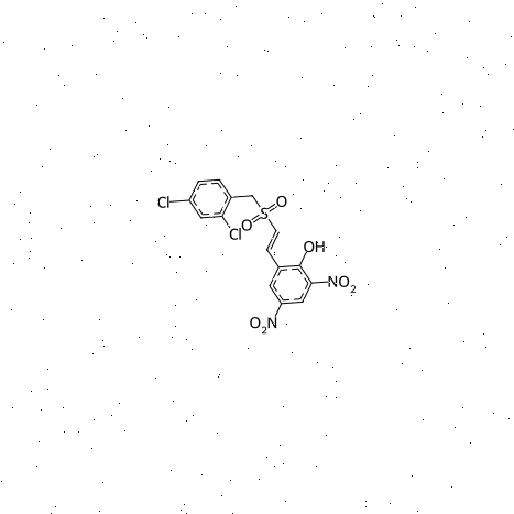 O=[N+]([O-])c1cc(C=CS(=O)(=O)Cc2ccc(Cl)cc2Cl)c(O)c([N+](=O)[O-])c1